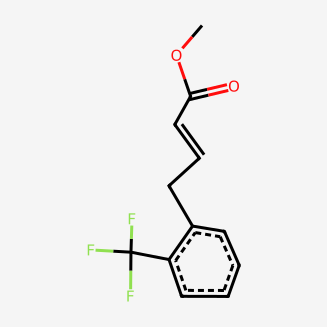 COC(=O)C=CCc1ccccc1C(F)(F)F